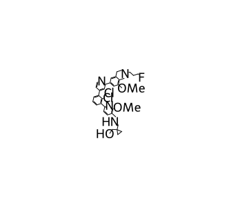 COc1cc(-c2nccc(-c3cccc(-c4ccc(CNCC5(CO)CC5)c(OC)n4)c3Cl)c2Cl)cc2c1CN(CCCF)CC2